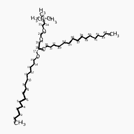 CCCCCCCCCCCCCCCCOC[C@H](COCOCC[N+](C)(C)C)OCCCCCCCCCCCCCCCC